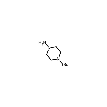 CC(C)(C)N1CCN(N)CC1